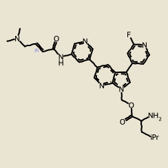 CC(C)CC(N)C(=O)OCn1cc(-c2ccnc(F)c2)c2cc(-c3cncc(NC(=O)/C=C/CN(C)C)c3)cnc21